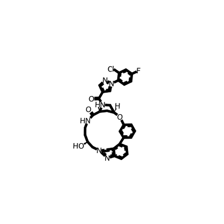 O=C1NCC[C@H](O)Cn2cc3c(cccc3n2)-c2cccc(c2)O[C@H]2C[C@@H]1N(C(=O)c1cnn(-c3ccc(F)cc3Cl)c1)C2